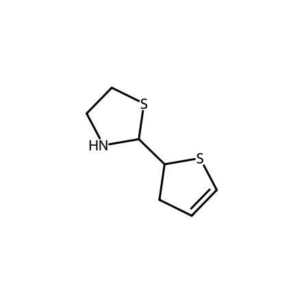 C1=CSC(C2NCCS2)C1